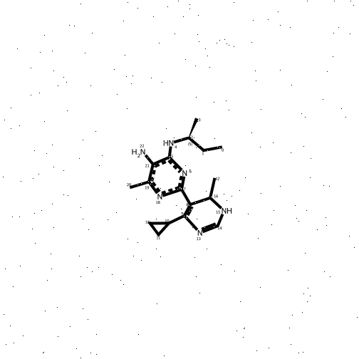 CC[C@H](C)Nc1nc(C2=C(C3CC3)N=CNC2C)nc(C)c1N